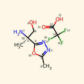 Cc1nnc([C@@](C)(N)CO)o1.O=C(O)C(F)(F)F